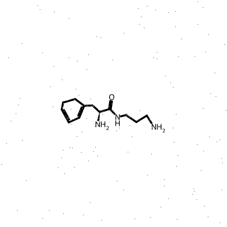 NCCCNC(=O)[C@@H](N)CC1=CC=CCC1